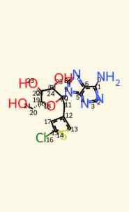 Nc1ncnc2c1ncn2[C@]1(Cc2csc(Cl)c2)O[C@H](CO)[C@@H](O)[C@H]1O